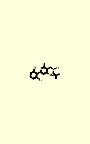 C=C(C)CN(CC)Cc1c(OC)cc(-c2c(CC)cccc2CC)nc1C